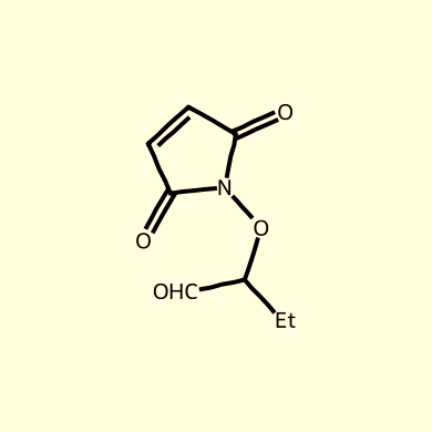 CCC(C=O)ON1C(=O)C=CC1=O